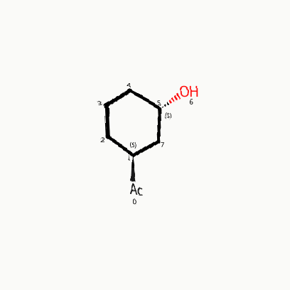 CC(=O)[C@H]1CCC[C@H](O)C1